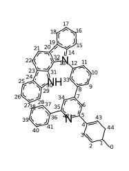 CC1C=CC(c2cc(-c3cccc(-n4c5ccccc5c5ccc6c7ccccc7[nH]c6c54)c3)cc(-c3ccccc3)n2)=CC1